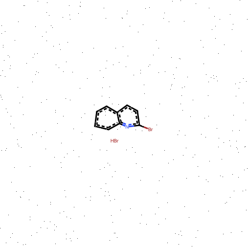 Br.Brc1ccc2ccccc2n1